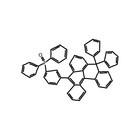 O=P(c1ccccc1)(c1ccccc1)c1cccc(-c2c3ccccc3c3c4c(cccc24)C(c2ccccc2)(c2ccccc2)c2ccccc2-3)c1